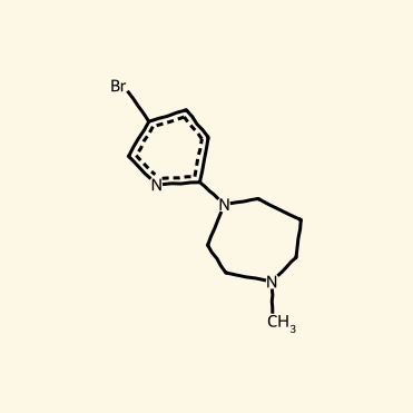 CN1CCCN(c2ccc(Br)cn2)CC1